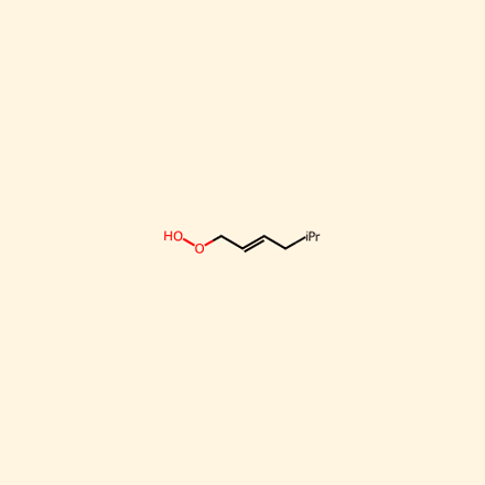 CC(C)CC=CCOO